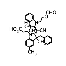 Cc1ccc2c(c1)C(C)(Cc1ccccc1)C(/C(C#N)=C1/N(CCOC=O)c3ccccc3C1(C)C)=[N+]2CCC(=O)O